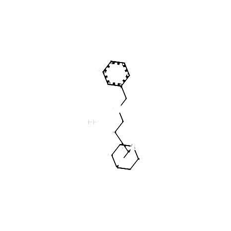 Br.c1ccc(COCCC2CC3CCN2CC3)cc1